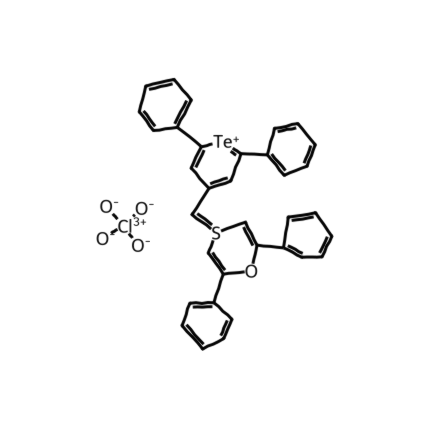 C1=C(c2ccccc2)OC(c2ccccc2)=CS1=Cc1cc(-c2ccccc2)[te+]c(-c2ccccc2)c1.[O-][Cl+3]([O-])([O-])[O-]